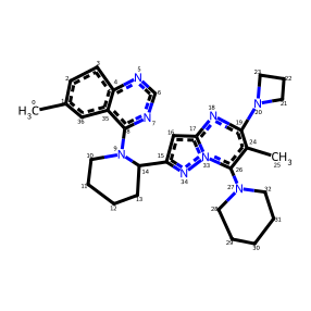 Cc1ccc2ncnc(N3CCCCC3c3cc4nc(N5CCC5)c(C)c(N5CCCCC5)n4n3)c2c1